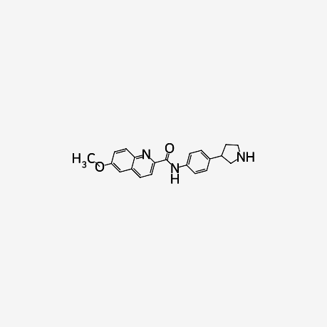 COc1ccc2nc(C(=O)Nc3ccc(C4CCNC4)cc3)ccc2c1